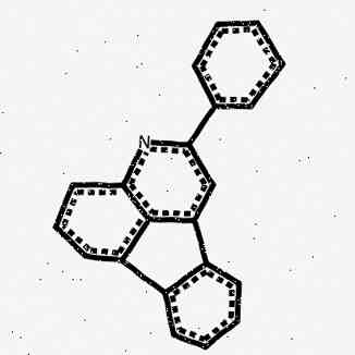 c1ccc(-c2cc3c4c(cccc4n2)-c2ccccc2-3)cc1